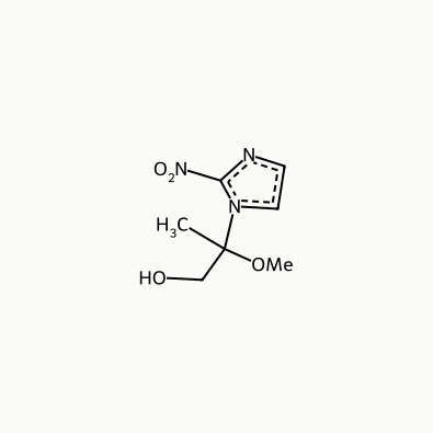 COC(C)(CO)n1ccnc1[N+](=O)[O-]